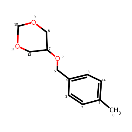 Cc1ccc(COC2COCOC2)cc1